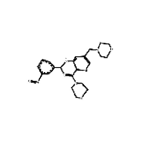 O=Nc1cccc(C2N=C(N3CCOCC3)C3NC=C(CN4CCOCC4)C=C3N2)c1